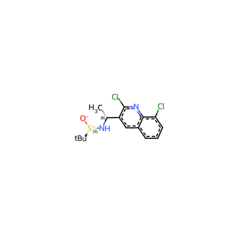 C[C@@H](N[S@+]([O-])C(C)(C)C)c1cc2cccc(Cl)c2nc1Cl